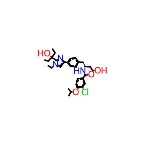 CCn1cc(-c2ccc(C[C@@H](CCO)NC(=O)c3ccc(OC(C)C)c(Cl)c3)cc2)nc1C(O)(CC)CC